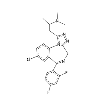 CC(Cc1nnc2n1-c1ccc(Cl)cc1C(c1ccc(F)cc1F)=NC2)N(C)C